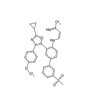 CS(=O)(=O)c1cccc(-c2ccc(N/C=C\C(=N)C(F)(F)F)c(-c3oc(C4CC4)nc3-c3ccc(OC(F)(F)F)cc3)c2)c1